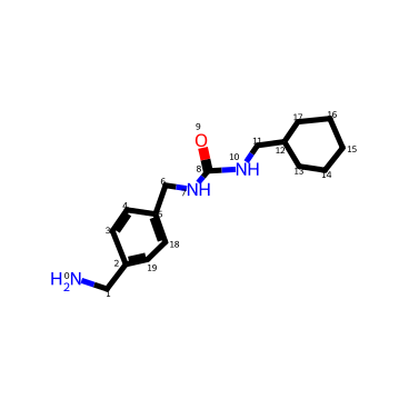 NCc1ccc(CNC(=O)NCC2CCCCC2)cc1